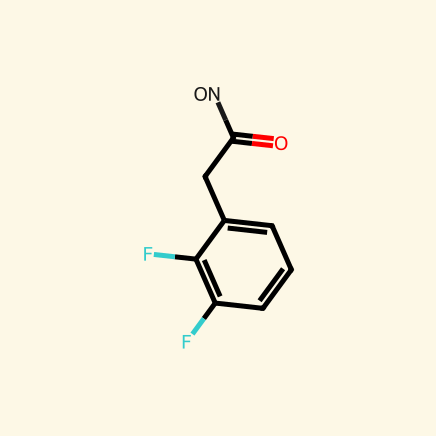 O=NC(=O)Cc1cccc(F)c1F